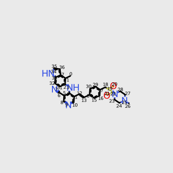 Cc1c(Nc2c(C#N)cncc2C=Cc2ccc(CS(=O)(=O)N3CCN(C)CC3)cc2)ccc2[nH]ccc12